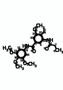 CCC(=O)Nc1cc(C(=O)Nc2cc(OC)c(OC)c(OC)c2)cc(OC)c1F